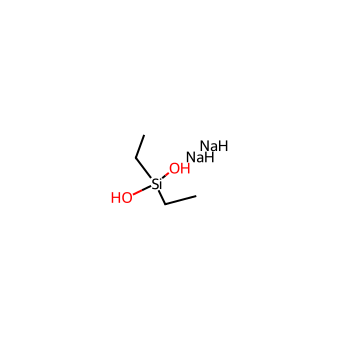 CC[Si](O)(O)CC.[NaH].[NaH]